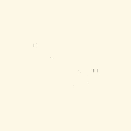 NC(=S)OC(=O)CC(c1ccccc1)c1ccccc1-c1ccc(O)cc1